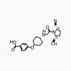 C#C[C@H]1CC[C@@H](C#N)N1C(=O)CN[C@H]1CC[C@H](Oc2ccc(C(=O)O)cc2)CC1